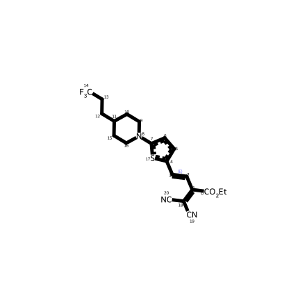 CCOC(=O)C(/C=C/c1ccc(N2CCC(CCC(F)(F)F)CC2)s1)=C(C#N)C#N